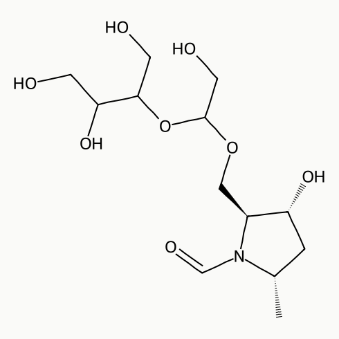 C[C@H]1C[C@@H](O)[C@H](COC(CO)OC(CO)C(O)CO)N1C=O